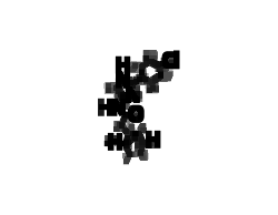 O=C(CC1C[C@@H]2CC[C@H]1C2)Nc1c[nH]c(-c2ccc(Cl)cc2)n1